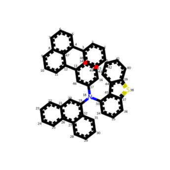 c1ccc(-c2cccc3cccc(-c4cccc(N(c5cc6ccccc6c6ccccc56)c5cccc6sc7ccccc7c56)c4)c23)cc1